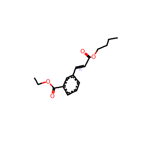 CCCCOC(=O)/C=C/c1cccc(C(=O)OCC)c1